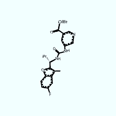 COC(=O)c1cncc(NC(=O)N[C@H](c2oc3ccc(F)cc3c2C)C(C)C)c1